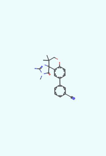 CN1C(=O)C2(N=C1N)c1cc(-c3cccc(C#N)c3)ccc1OCC2(C)C